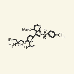 COc1ccnc2c1c(-c1ccc(OC[C@](C)(N)CC(C)C)c(C(F)F)n1)cn2S(=O)(=O)c1ccc(C)cc1